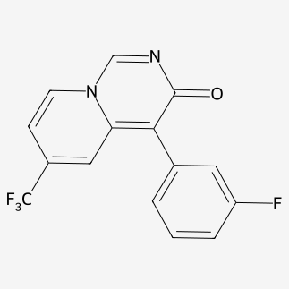 O=c1ncn2ccc(C(F)(F)F)cc2c1-c1cccc(F)c1